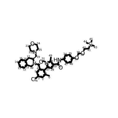 Cc1cc(Cl)cc(C(=O)N2Cc3ccccc3C[C@H]2CN2CCOCC2)c1-c1cc(C(=O)Nc2ccc(OCOCC[Si](C)(C)C)cc2)c(C)n1C